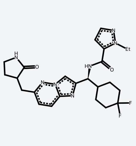 CCn1nccc1C(=O)N[C@H](c1cn2nc(CC3CCNC3=O)ccc2n1)C1CCC(F)(F)CC1